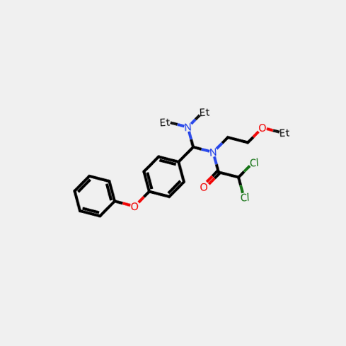 CCOCCN(C(=O)C(Cl)Cl)C(c1ccc(Oc2ccccc2)cc1)N(CC)CC